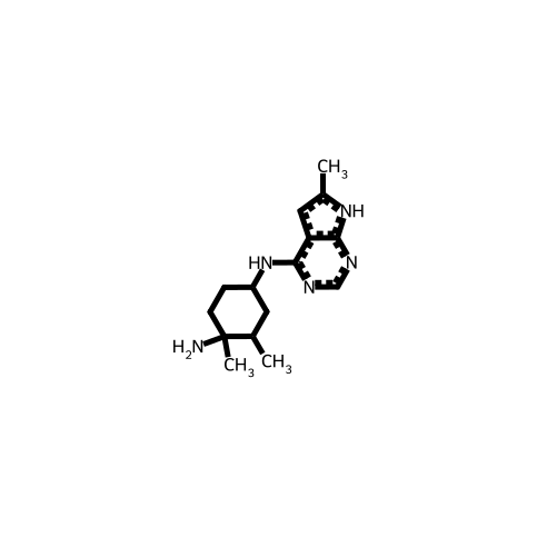 Cc1cc2c(NC3CCC(C)(N)C(C)C3)ncnc2[nH]1